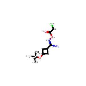 CC(C)(C)[Si](C)(C)OC1CC(/C(N)=N/OC(=O)CCl)C1